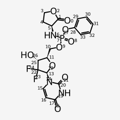 O=C1OCC[C@@H]1NP(=O)(OC[C@H]1O[C@@H](n2ccc(=O)[nH]c2=O)C(F)(F)[C@@H]1O)Oc1ccccc1